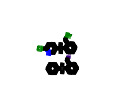 C[Si](C)(c1ccc(Cl)nc1)c1ccccc1CBr.C[Si](C)(c1ccccc1)c1ccccc1CI